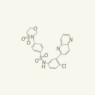 O=S(=O)(Nc1ccc(Cl)c(-c2ccc3ncccc3n2)c1)c1ccc(N2COCCS2(=O)=O)cc1